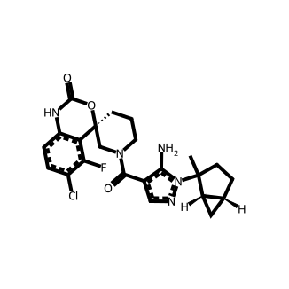 CC1(n2ncc(C(=O)N3CCC[C@@]4(C3)OC(=O)Nc3ccc(Cl)c(F)c34)c2N)CC[C@@H]2C[C@@H]21